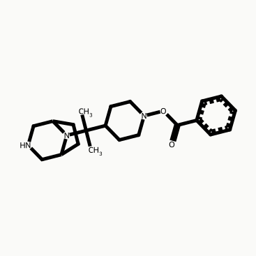 CC(C)(C1CCN(OC(=O)c2ccccc2)CC1)N1C2CCC1CNC2